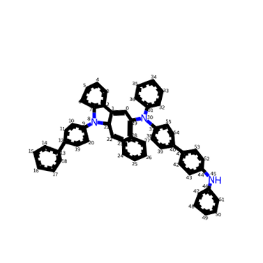 C1=C2c3ccccc3N(c3ccc(-c4ccccc4)cc3)C2C=c2ccccc2=C1N(c1ccccc1)c1ccc(-c2ccc(Nc3ccccc3)cc2)cc1